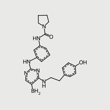 Bc1cnc(Nc2cccc(NC(=O)N3CCCC3)c2)nc1NCCc1ccc(O)cc1